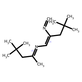 C=N/C(=C\N=C(/C)CC(C)(C)C)CC(C)(C)C